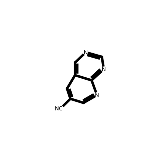 N#Cc1cnc2ncncc2c1